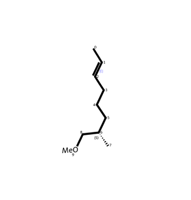 C/C=C/CCC[C@H](C)COC